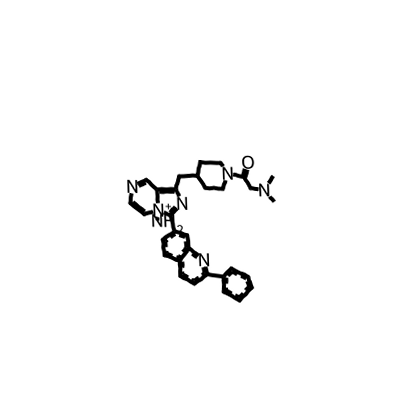 CN(C)CC(=O)N1CCC(CC2=C3C=NC=C[N+]3(N)C(c3ccc4ccc(-c5ccccc5)nc4c3)=N2)CC1